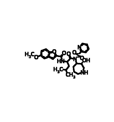 COc1ccc2oc(C(=O)NC(CC(C)C)C(=O)N(C3CCCNC[C@@H]3O)S(=O)(=O)c3ccccn3)cc2c1